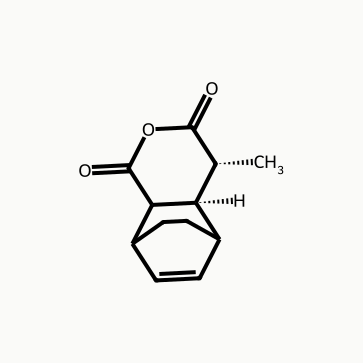 C[C@H]1C(=O)OC(=O)C2C3C=CC(CC3)[C@@H]21